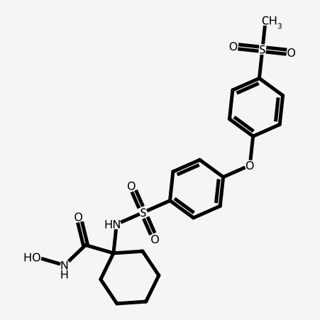 CS(=O)(=O)c1ccc(Oc2ccc(S(=O)(=O)NC3(C(=O)NO)CCCCC3)cc2)cc1